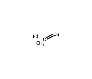 C.[O]=[Cu].[Pd]